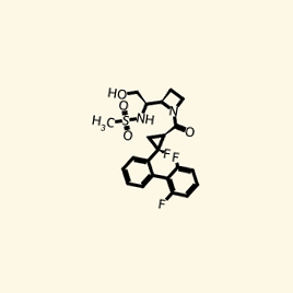 CS(=O)(=O)N[C@@H](CO)[C@H]1CCN1C(=O)[C@@H]1C[C@@]1(F)c1ccccc1-c1c(F)cccc1F